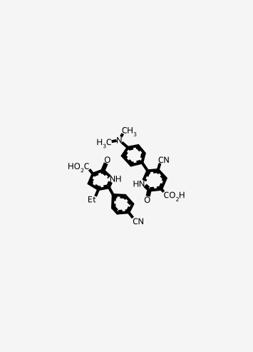 CCc1cc(C(=O)O)c(=O)[nH]c1-c1ccc(C#N)cc1.CN(C)c1ccc(-c2[nH]c(=O)c(C(=O)O)cc2C#N)cc1